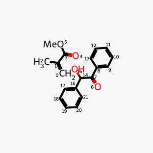 C=C(C)C(=O)OC.O=C(c1ccccc1)C(O)c1ccccc1